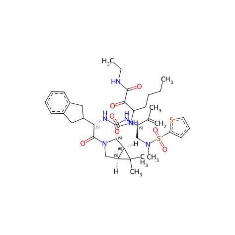 C=C(C)[C@@H](CN(C)S(=O)(=O)c1cccs1)NC(=O)N[C@H](C(=O)N1C[C@H]2[C@@H]([C@H]1C(=O)NC(CCCC)C(=O)C(=O)NCC)C2(C)C)C1Cc2ccccc2C1